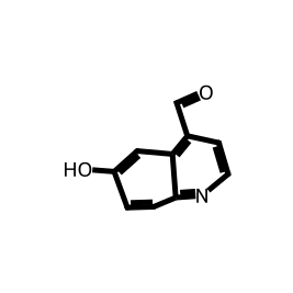 O=Cc1ccnc2ccc(O)cc12